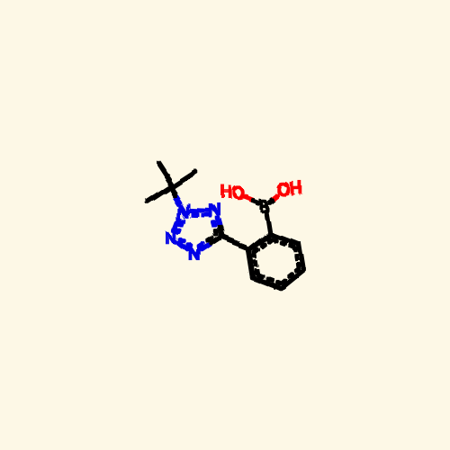 CC(C)(C)n1nnc(-c2ccccc2B(O)O)n1